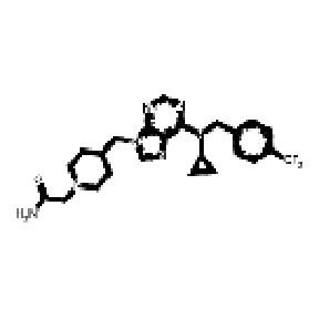 NC(=O)CN1CCC(Cn2cnc3c(N(Cc4ccc(C(F)(F)F)cc4)C4CC4)ncnc32)CC1